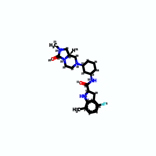 Cc1ccc(F)c2c1NC(C(=O)N[C@@H]1CCC[C@H](N3CCN4C(=O)N(C)C[C@H]4C3)C1)C2